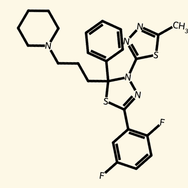 Cc1nnc(N2N=C(c3cc(F)ccc3F)SC2(CCCN2CCCCC2)c2ccccc2)s1